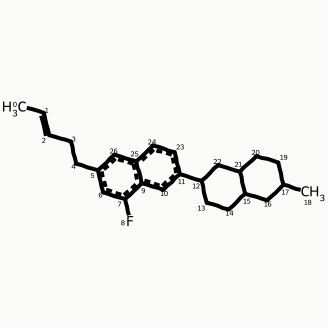 CC=CCCc1cc(F)c2cc(C3CCC4CC(C)CCC4C3)ccc2c1